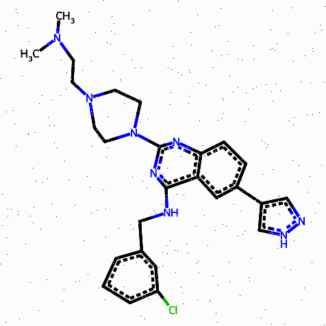 CN(C)CCN1CCN(c2nc(NCc3cccc(Cl)c3)c3cc(-c4cn[nH]c4)ccc3n2)CC1